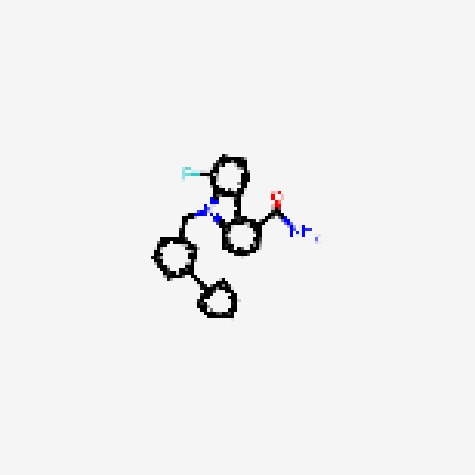 NC(=O)c1cccc2c1c1[c]ccc(F)c1n2Cc1cccc(-c2ccccc2)c1